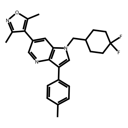 Cc1ccc(-c2cn(CC3CCC(F)(F)CC3)c3cc(-c4c(C)noc4C)cnc23)cc1